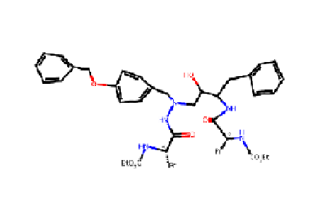 CCOC(=O)N[C@H](C(=O)NC(Cc1ccccc1)C(O)CN(Cc1ccc(OCc2ccccc2)cc1)NC(=O)[C@@H](NC(=O)OCC)C(C)C)C(C)C